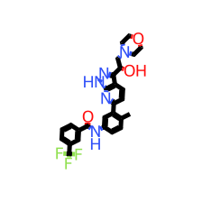 Cc1ccc(NC(=O)c2cccc(C(F)(F)F)c2)cc1-c1ccc2c(C(O)CN3CCOCC3)n[nH]c2n1